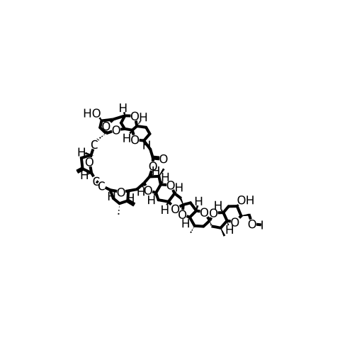 C=C1C[C@@H]2CC[C@]34C[C@@H](O)C(O3)[C@H]3CC(O4)[C@H]4O[C@H](CC[C@@H]4O3)CC(=O)O[C@@H]3[C@@H](C)[C@@H]4O[C@@H]5C[C@]6(C[C@@H]7O[C@]8(C[C@H](C)[C@@H]9O[C@H](COI)[C@H](O)C[C@@H]9O8)C[C@H](C)[C@@H]7O6)O[C@@H]5C[C@@H]4O[C@H]3C[C@H]3O[C@@H](CC[C@@H]1O2)C[C@@H](C)C3=C